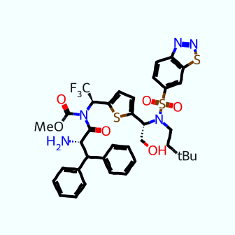 COC(=O)N(C(=O)[C@@H](N)C(c1ccccc1)c1ccccc1)[C@H](c1ccc([C@@H](CO)N(CCC(C)(C)C)S(=O)(=O)c2ccc3nnsc3c2)s1)C(F)(F)F